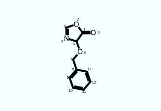 O=C1OC=NC1OCc1ccccc1